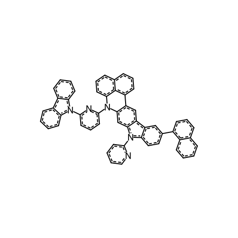 c1ccc(-n2c3ccc(-c4cccc5ccccc45)cc3c3cc4c(cc32)N(c2cccc(-n3c5ccccc5c5ccccc53)n2)c2cccc3cccc-4c23)nc1